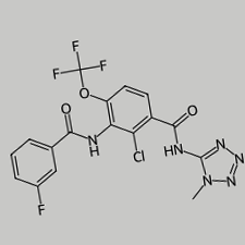 Cn1nnnc1NC(=O)c1ccc(OC(F)(F)F)c(NC(=O)c2cccc(F)c2)c1Cl